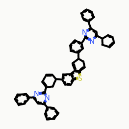 C1=CCC(c2cc(-c3ccccc3)nc(-c3cccc(C4C=c5c(sc6ccc(C7C=CC=C(c8nc(-c9ccccc9)cc(-c9ccccc9)n8)C7)cc56)=CC4)c3)n2)C=C1